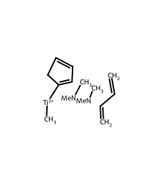 C=CC=C.C[N-]C.C[N-]C.[CH3][Ti+2][C]1=CC=CC1